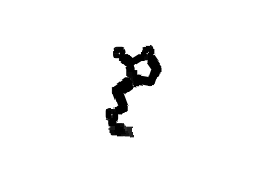 CC(C)(C)OCCN1CCOC1=O